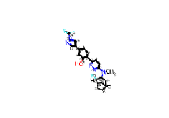 CN(c1ccc(-c2ccc(-c3cnn(C(F)F)c3)cc2O)nn1)[C@H]1C[C@@H]2CC[C@@H](C2)[C@H]1F